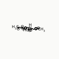 COc1ccc(CCC(=O)NC(Cc2ccc(OC(=O)CCC(C)=O)cc2)C(=O)O)cc1